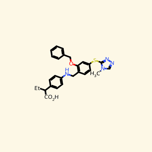 CCC(C(=O)O)c1ccc(NCc2ccc(Sc3nncn3C)cc2OCc2ccccc2)cc1